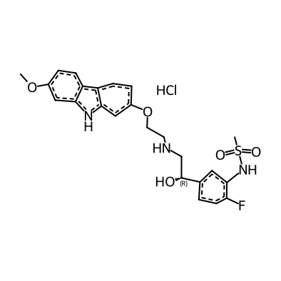 COc1ccc2c(c1)[nH]c1cc(OCCNC[C@H](O)c3ccc(F)c(NS(C)(=O)=O)c3)ccc12.Cl